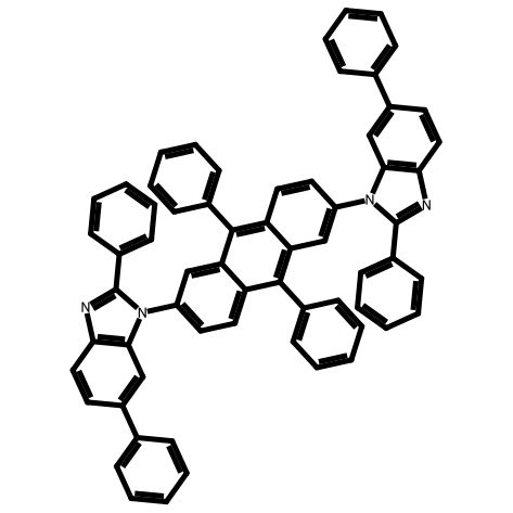 c1ccc(-c2ccc3nc(-c4ccccc4)n(-c4ccc5c(-c6ccccc6)c6cc(-n7c(-c8ccccc8)nc8ccc(-c9ccccc9)cc87)ccc6c(-c6ccccc6)c5c4)c3c2)cc1